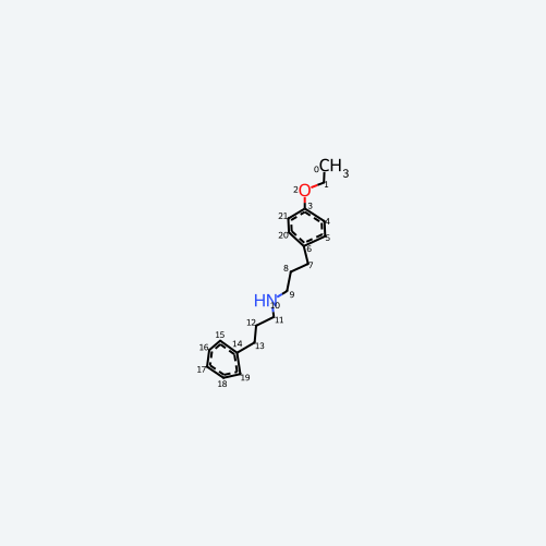 CCOc1ccc(CCCNCCCc2ccccc2)cc1